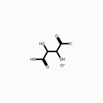 O=C([O-])C(O)C(O)C(=O)O.[Cl+]